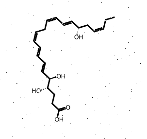 CC/C=C\C[C@H](O)/C=C/C=C\C\C=C/C=C/C=C/[C@@H](O)[C@@H](O)CCC(=O)O